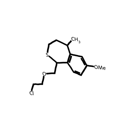 COc1ccc2c(c1)C(C)CCSC2COCCCl